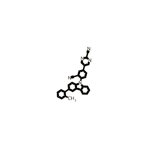 Cc1ccccc1-c1ccc2c(c1)c1ccccc1n2-c1ccc(-c2cnc(C#N)nc2)cc1C#N